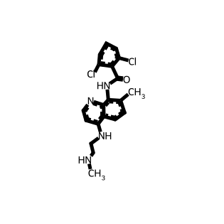 CNCCNc1ccnc2c(NC(=O)c3c(Cl)cccc3Cl)c(C)ccc12